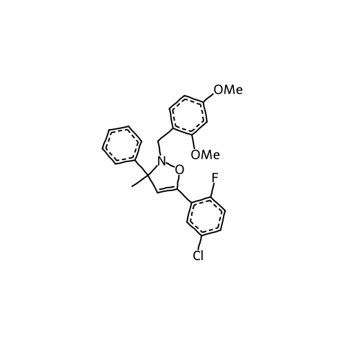 COc1ccc(CN2OC(c3cc(Cl)ccc3F)=CC2(C)c2ccccc2)c(OC)c1